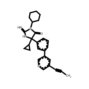 CC#Cc1cncc(-c2cccc(C3(C4CC4)NC(=N)N(C4CCCCC4)C3=O)c2)c1